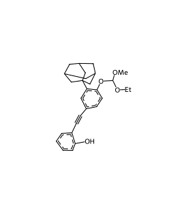 CCOC(OC)Oc1ccc(C#Cc2ccccc2O)cc1C12CC3CC(CC(C3)C1)C2